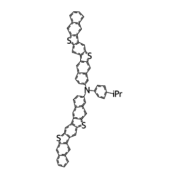 CC(C)c1ccc(N(c2ccc3cc4c(cc3c2)sc2cc3c(cc24)sc2cc4ccccc4cc23)c2ccc3cc4c(cc3c2)sc2cc3c(cc24)sc2cc4ccccc4cc23)cc1